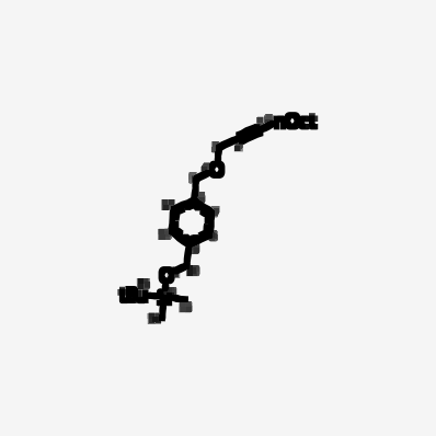 CCCCCCCCC#CCOCc1ccc(CO[Si](C)(C)C(C)(C)C)cc1